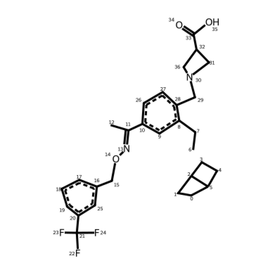 C1CC2CCC12.CCc1cc(C(C)=NOCc2cccc(C(F)(F)F)c2)ccc1CN1CC(C(=O)O)C1